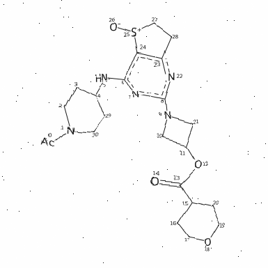 CC(=O)N1CCC(Nc2nc(N3CC(OC(=O)C4CCOCC4)C3)nc3c2[S+]([O-])CC3)CC1